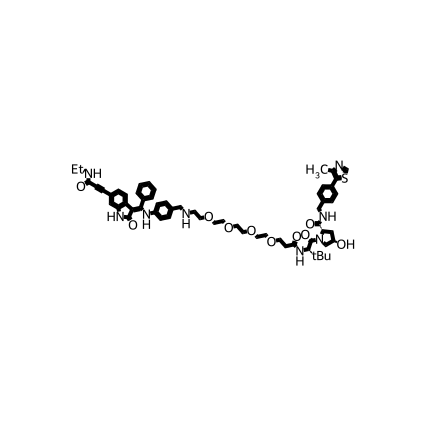 CCNC(=O)C#Cc1ccc2c(c1)NC(=O)/C2=C(\Nc1ccc(CNCCOCCOCCOCCOCCC(=O)N[C@H](C(=O)N2C[C@H](O)C[C@H]2C(=O)NCc2ccc(-c3scnc3C)cc2)C(C)(C)C)cc1)c1ccccc1